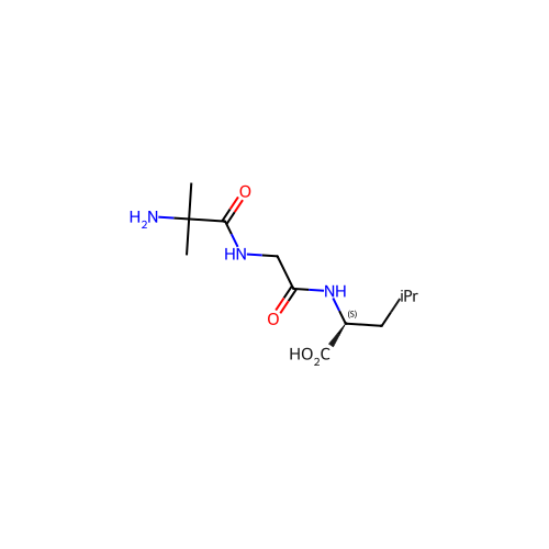 CC(C)C[C@H](NC(=O)CNC(=O)C(C)(C)N)C(=O)O